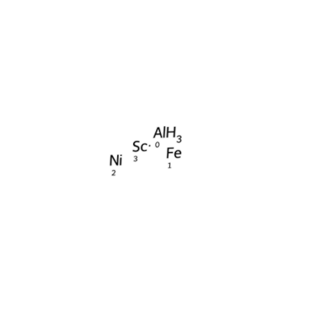 [AlH3].[Fe].[Ni].[Sc]